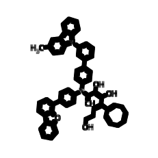 C=C(/C(O)=C(/O)C(=CCCO)C1=C/C/C=C\C/C=C\1)N(c1ccc(-c2cccc(-n3c4ccccc4c4cc(C)ccc43)c2)cc1)c1ccc(-c2cccc3c2oc2ccccc23)cc1